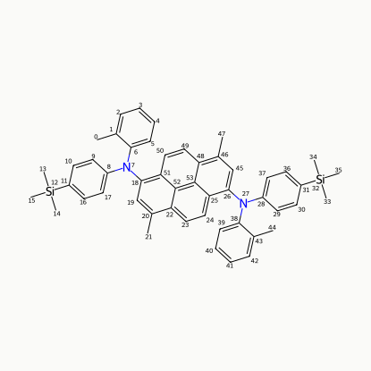 Cc1ccccc1N(c1ccc([Si](C)(C)C)cc1)c1cc(C)c2ccc3c(N(c4ccc([Si](C)(C)C)cc4)c4ccccc4C)cc(C)c4ccc1c2c43